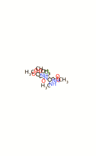 CNc1cc2c(c3cc(C(=O)OC)[nH]c13)C(CCl)CN2C(=O)c1cc2cc(OC)c(OC)c(OC)c2[nH]1